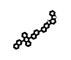 c1ccc2cc(-c3c4ccccc4c(-c4ccc5cc(-c6ccc7cc8c(cc7c6)sc6c8ccc7sc8ccccc8c76)ccc5c4)c4ccccc34)ccc2c1